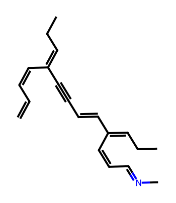 C=C/C=C\C(C#CC=CC(/C=C\C=N\C)=C/CC)=C/CC